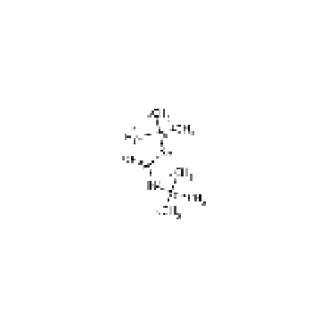 CC(C)(C)NC(=O)SC(C)(C)C